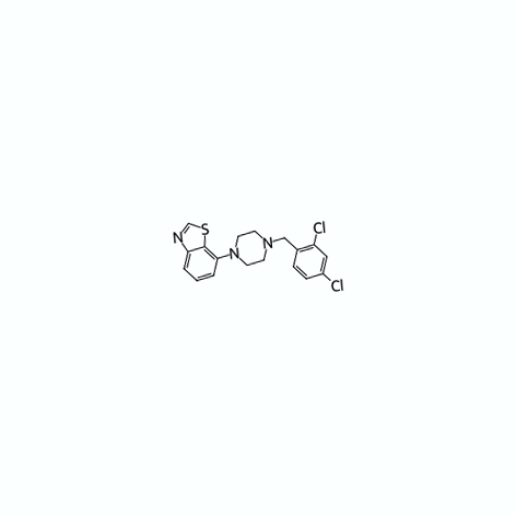 Clc1ccc(CN2CCN(c3cccc4ncsc34)CC2)c(Cl)c1